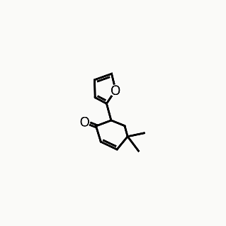 CC1(C)C=CC(=O)C(c2ccco2)C1